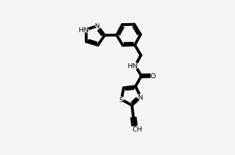 C#Cc1nc(C(=O)NCc2cccc(-c3cc[nH]n3)c2)cs1